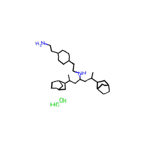 CC(CC(CC(C)C1CC2CCC1C2)NCCC1CCC(CCN)CC1)C1CC2CCC1C2.Cl.Cl